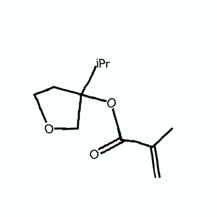 C=C(C)C(=O)OC1(C(C)C)CCOC1